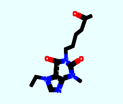 CCn1cnc2c1c(=O)n(CCCCC(C)=O)c(=O)n2C